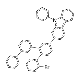 Brc1ccccc1-c1ccc(-c2ccc3c4ccccc4n(-c4ccccc4)c3c2)cc1-c1cccc(-c2ccccc2)c1